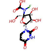 O=C(O)N(F)[C@]1(CO)O[C@@H](n2ccc(=O)[nH]c2=O)[C@H](O)[C@@H]1O